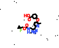 Cc1nc(-c2nnn(C)c2CNC(=O)OCC2(F)CC2)ccc1O[C@H]1CCC[C@H](C(=O)O)C1